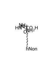 CCCCCCCCCC=CC=CC=CC=CC=CC=CC(=O)N[C@@H](CCCNC(=N)N)C(=O)O